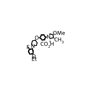 CCOc1ccc(F)c(N2CCC(Oc3ccc(N4C[C@H](OC)[C@@H](C)[C@@H]4CC(=O)O)cc3)CC2)c1